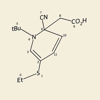 CCSC1=CN(C(C)(C)C)C(C#N)(CC(=O)O)C=C1